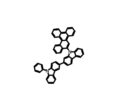 c1ccc(-n2c3ccccc3c3cc(-c4ccc5c6ccccc6n(-c6cc7c8ccccc8c8ccccc8c7c7ccccc67)c5c4)ccc32)cc1